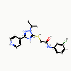 CC(C)n1nc(-c2ccncc2)nc1SCC(=O)Nc1cccc(Cl)c1